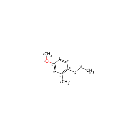 [CH2]c1cc(OC)ccc1CCC